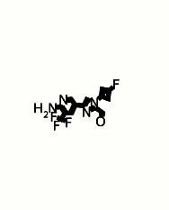 Nc1ncc(-c2cn(C34CC(F)(C3)C4)c(C=O)n2)cc1C(F)(F)F